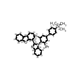 CC(C)c1cc(-c2ccc([Si](C)(C)C)cc2)cc(C(C)C)c1-n1c(-c2cccc3c2oc2ccccc23)nc2ccccc21